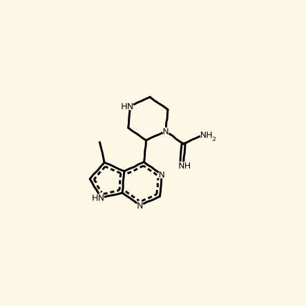 Cc1c[nH]c2ncnc(C3CNCCN3C(=N)N)c12